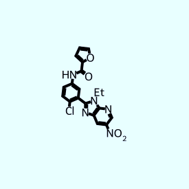 CCn1c(-c2cc(NC(=O)c3ccco3)ccc2Cl)nc2cc([N+](=O)[O-])cnc21